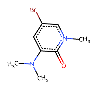 CN(C)c1cc(Br)cn(C)c1=O